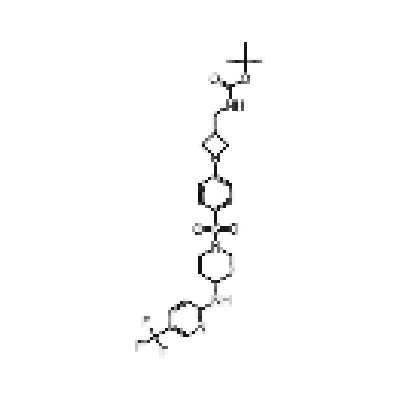 CC(C)(C)OC(=O)NCC1CN(c2ccc(S(=O)(=O)N3CCC(Nc4ccc(C(F)(F)F)cn4)CC3)cc2)C1